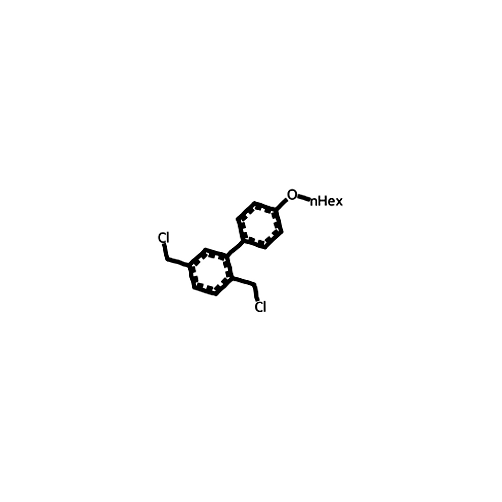 CCCCCCOc1ccc(-c2cc(CCl)ccc2CCl)cc1